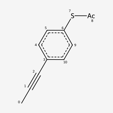 CC#Cc1ccc(SC(C)=O)cc1